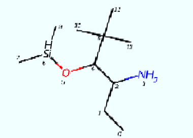 CCC(N)C(O[SiH](C)C)C(C)(C)C